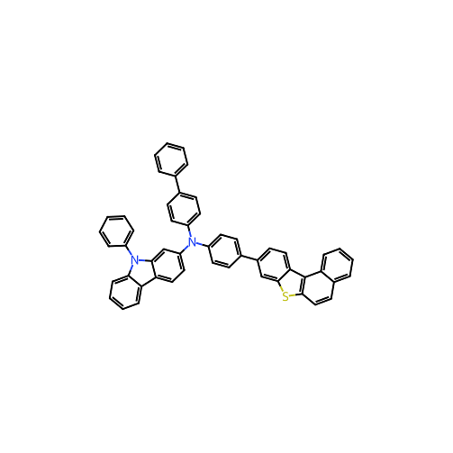 c1ccc(-c2ccc(N(c3ccc(-c4ccc5c(c4)sc4ccc6ccccc6c45)cc3)c3ccc4c5ccccc5n(-c5ccccc5)c4c3)cc2)cc1